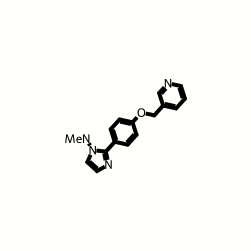 CNn1ccnc1-c1ccc(OCc2cccnc2)cc1